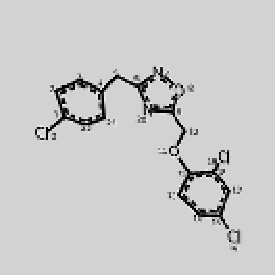 Clc1ccc(Cc2noc(COc3ccc(Cl)cc3Cl)n2)cc1